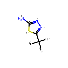 [2H]C([2H])([2H])c1nnc(N)s1